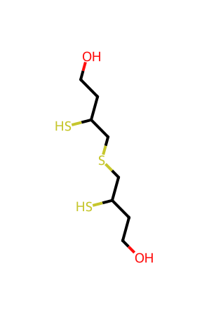 OCCC(S)CSCC(S)CCO